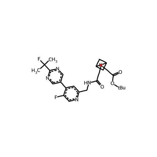 CC(C)(C)OC(=O)N1C2CC(C2)C1C(=O)NCc1cc(-c2cnc(C(C)(C)F)nc2)c(F)cn1